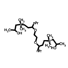 CCCC(CC[N+](C)(C)CC(C)O)OCCOC(CCC)CC[N+](C)(C)CC(C)O